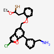 CCOC(S)Cc1ccccc1OCc1cc(-c2cccc(CN)c2)c2oc(Cl)cc2c1